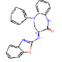 O=C1Nc2ccccc2N(c2ccccc2)C[C@@H]1Nc1nc2ccccc2o1